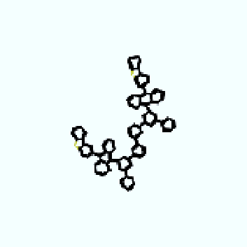 c1ccc(-c2cc(-c3cccc(-c4cccc(-c5cc(-c6ccccc6)cc(-c6c7ccccc7c(-c7ccc8sc9ccccc9c8c7)c7ccccc67)c5)c4)c3)cc(-c3c4ccccc4c(-c4ccc5c(c4)sc4ccccc45)c4ccccc34)c2)cc1